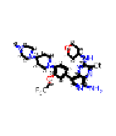 CCc1nc2c(N)ncc(-c3ccc(N4CCC(N5CCN(C)CC5)CC4)c(OCC(F)(F)F)c3)c2nc1NC1CCOCC1